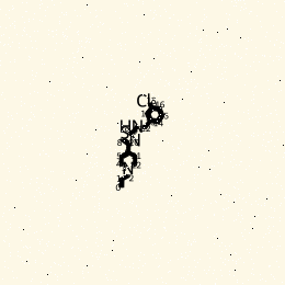 C=CCN1CC=C(c2csc(NCc3cccc(Cl)c3)n2)CC1